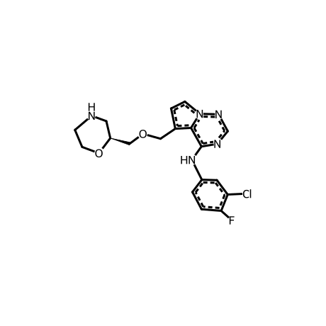 Fc1ccc(Nc2ncnn3ccc(COC[C@@H]4CNCCO4)c23)cc1Cl